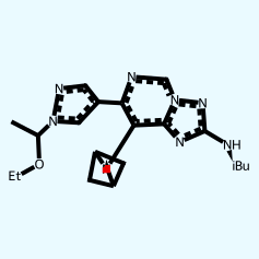 CCOC(C)n1cc(-c2ncn3nc(N[C@H](C)CC)nc3c2N2CC3CC2C3)cn1